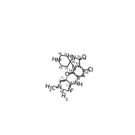 C=N/C=C\C(=N/C)Nc1cc(Cl)c2n(c1=O)C1(CCNCC1)NC2=O